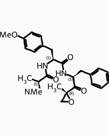 CN[C@@H](C)C(=O)N[C@@H](Cc1ccc(OC)cc1)C(=O)N[C@@H](Cc1ccccc1)C(=O)[C@@]1(C)CO1